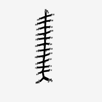 C=C(CCC)C(F)(F)C(F)(F)C(F)(F)C(F)(F)C(F)(F)C(F)(F)C(F)(F)C(F)(F)C(F)(F)C(F)(F)C(F)(F)C(F)(F)F